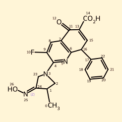 CC1CN(c2nc3c(cc2F)C(=O)C(C(=O)O)=CC3c2ccccc2)C/C1=N\O